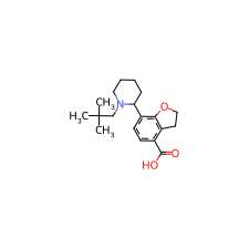 CC(C)(C)CN1CCCCC1c1ccc(C(=O)O)c2c1OCC2